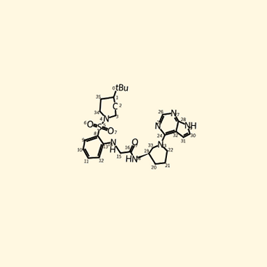 CC(C)(C)C1CCN(S(=O)(=O)c2ccccc2NCC(=O)N[C@@H]2CCCN(c3ncnc4[nH]ccc34)C2)CC1